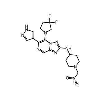 O=[SH](=O)CN1CCC(Nc2nc3cnc(-c4cn[nH]c4)c(N4CCC(F)(F)C4)n3n2)CC1